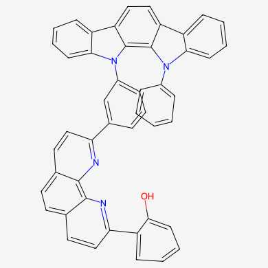 Oc1ccccc1-c1ccc2ccc3ccc(-c4cccc(-n5c6ccccc6c6ccc7c8ccccc8n(-c8ccccc8)c7c65)c4)nc3c2n1